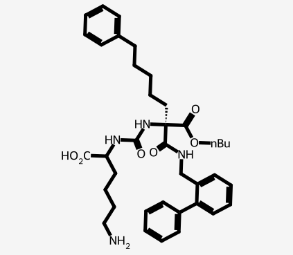 CCCCOC(=O)[C@](CCCCCc1ccccc1)(NC(=O)NC(CCCCN)C(=O)O)C(=O)NCc1ccccc1-c1ccccc1